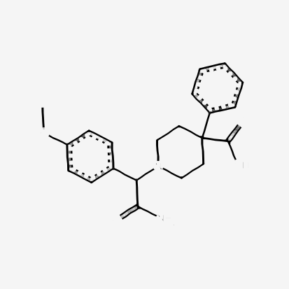 COc1ccc(C(C(N)=O)N2CCC(C(=O)O)(c3ccccc3)CC2)cc1